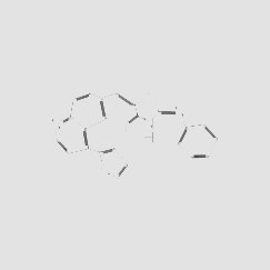 O=C1NC(=Nc2ccccc2)SC1=Cc1ccc2nccc(-c3cccs3)c2c1